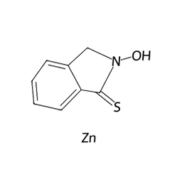 ON1Cc2ccccc2C1=S.[Zn]